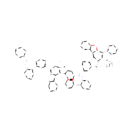 CC1(C)c2cc(N(c3ccc4c(c3)C(C)(C)c3c5c(c6oc7ccccc7c6c3-4)-c3ccccc3C5(C)C)c3ccccc3-c3ccccc3)ccc2-c2c1cc(-c1ccc3c(c1)-c1ccccc1CC(c1ccccc1)C3)c1oc3ccccc3c21